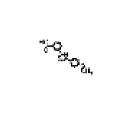 COc1ccc(-c2csc(-c3cccc(C(=O)O)c3)n2)cc1